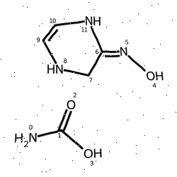 NC(=O)O.ON=C1CNC=CN1